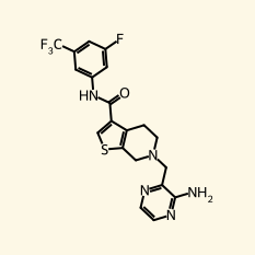 Nc1nccnc1CN1CCc2c(C(=O)Nc3cc(F)cc(C(F)(F)F)c3)csc2C1